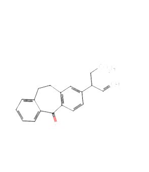 C=CC(CC(=O)O)c1ccc2c(c1)CCc1ccccc1C2=O